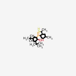 Cc1ccc(Pc2cc(C(C)(C)C)cc(C(C)(C)C)c2O)c(C(C)S)c1